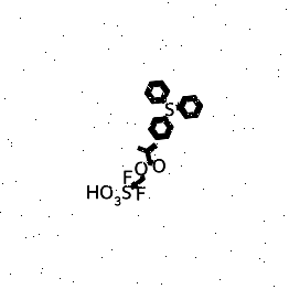 C=C(C)C(=O)OCC(F)(F)S(=O)(=O)O.c1ccc([S+](c2ccccc2)c2ccccc2)cc1